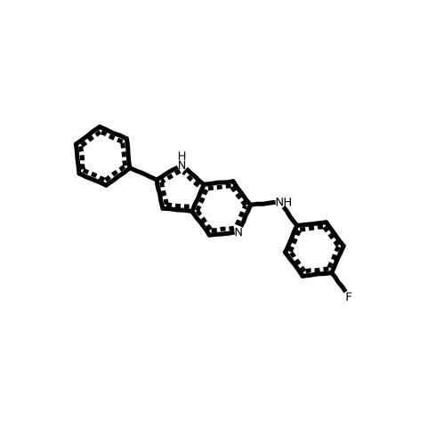 Fc1ccc(Nc2cc3[nH]c(-c4ccccc4)cc3cn2)cc1